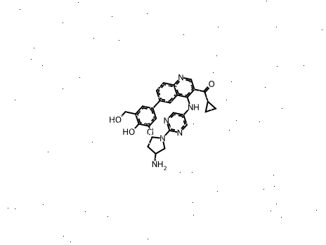 NC1CCN(c2ncc(Nc3c(C(=O)C4CC4)cnc4ccc(-c5cc(Cl)c(O)c(CO)c5)cc34)cn2)C1